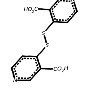 O=C(O)c1cnccc1SSc1ccncc1C(=O)O